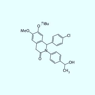 CC[C@@H](C)Oc1cc2c(cc1OC)CC(=O)N(c1ccc(C(C)O)cc1)C2c1ccc(Cl)cc1